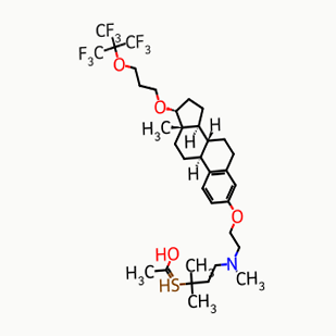 CC(O)=[SH]C(C)(C)CCN(C)CCOc1ccc2c(c1)CC[C@@H]1[C@@H]2CC[C@]2(C)[C@@H](OCCCOC(C(F)(F)F)(C(F)(F)F)C(F)(F)F)CC[C@@H]12